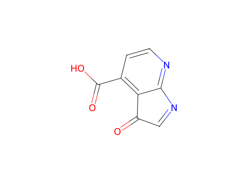 O=C(O)c1ccnc2c1C(=O)C=N2